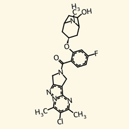 Cc1nc2c3c(nn2c(C)c1Cl)CN(C(=O)c1ccc(F)cc1O[C@H]1CC2CC(O)C(C1)N2C)C3